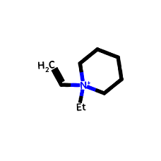 C=C[N+]1(CC)CCCCC1